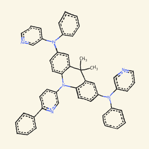 CC1(C)c2cc(N(c3ccccc3)c3cccnc3)ccc2N(c2ccc(-c3ccccc3)nc2)c2ccc(N(c3ccccc3)c3cccnc3)cc21